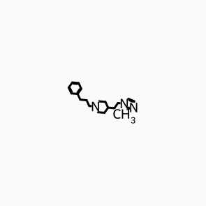 CC(Cn1ccnc1)C1CCN(CCCc2ccccc2)CC1